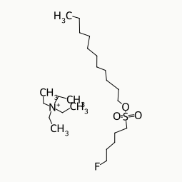 CCCCCCCCCCCOS(=O)(=O)CCCCCF.CC[N+](CC)(CC)CC